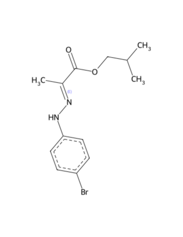 C/C(=N\Nc1ccc(Br)cc1)C(=O)OCC(C)C